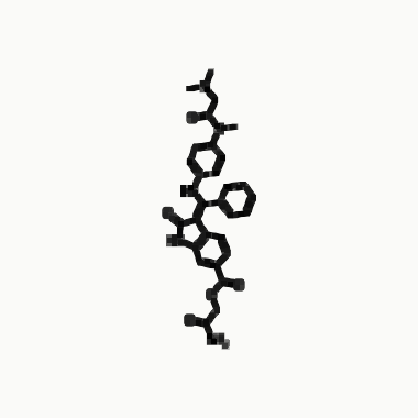 CN(C)CC(=O)N(C)c1ccc(N/C(=C2\C(=O)Nc3cc(C(=O)OCC(N)=O)ccc32)c2ccccc2)cc1